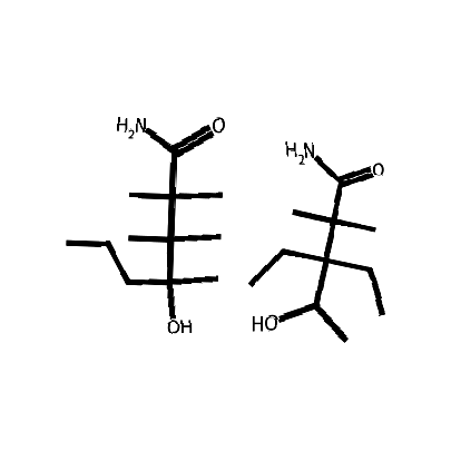 CCC(CC)(C(C)O)C(C)(C)C(N)=O.CCCC(C)(O)C(C)(C)C(C)(C)C(N)=O